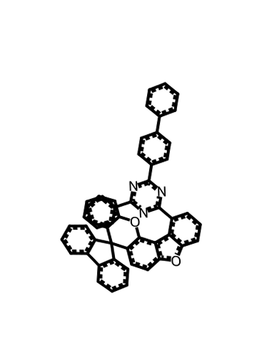 c1ccc(-c2ccc(-c3nc(-c4ccccc4)nc(-c4cccc5oc6ccc7c(c6c45)Oc4ccccc4C74c5ccccc5-c5ccccc54)n3)cc2)cc1